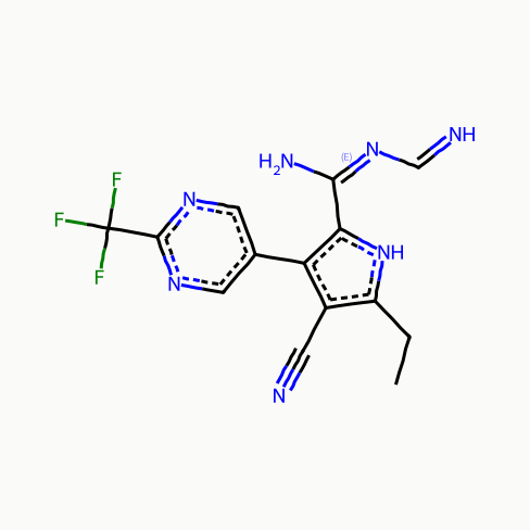 CCc1[nH]c(/C(N)=N\C=N)c(-c2cnc(C(F)(F)F)nc2)c1C#N